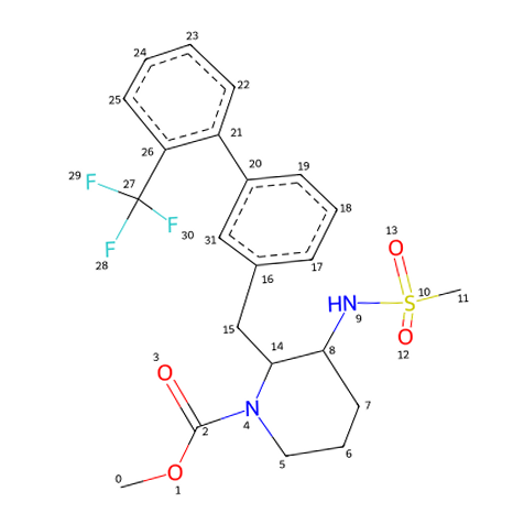 COC(=O)N1CCCC(NS(C)(=O)=O)C1Cc1cccc(-c2ccccc2C(F)(F)F)c1